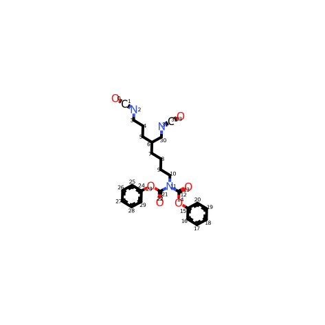 O=C=NCCCC(CCCCN(C(=O)Oc1ccccc1)C(=O)Oc1ccccc1)CN=C=O